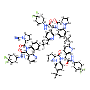 CC(C)(C)c1ccc(N(C(=O)C2CCCN2)C(C(=O)NC2CCC(F)(F)CC2)c2ccc(CC(C)(C)c3ccc(N(C(=O)[C@H]4CCCN4)C(C(=O)NC4CCC(F)(F)CC4)c4ccc(CC(C)(C)c5ccc(N(C(=O)C6CCCN6C#N)C(C(=O)NC6CCC(F)(F)CC6)c6cccnc6)cc5)nc4)cc3)nc2)cc1